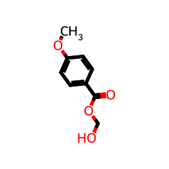 COc1ccc(C(=O)OCO)cc1